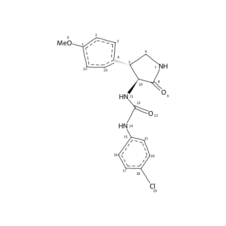 COc1ccc([C@@H]2CNC(=O)[C@H]2NC(=O)Nc2ccc(Cl)cc2)cc1